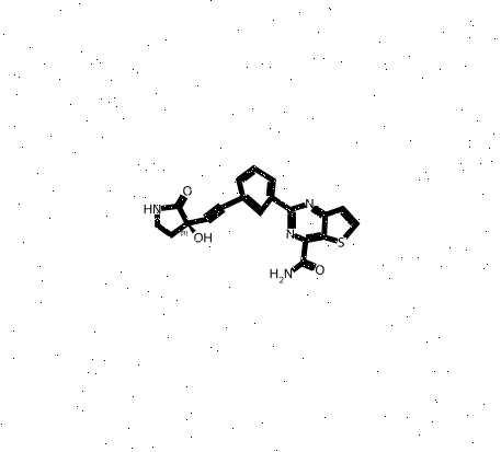 NC(=O)c1nc(-c2cccc(C#C[C@]3(O)CCNC3=O)c2)nc2ccsc12